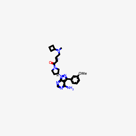 COc1cccc(-c2nn([C@@H]3CCN(C(=O)/C=C/CN(C)C4CCC4)C3)c3ncnc(N)c23)c1